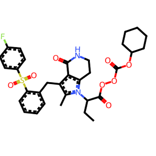 CCC(C(=O)OOC(=O)OC1CCCCC1)n1c(C)c(Cc2ccccc2S(=O)(=O)c2ccc(F)cc2)c2c1CCNC2=O